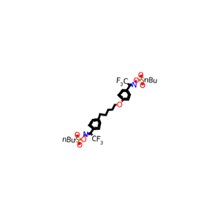 CCCCS(=O)(=O)O/N=C(/c1ccc(CCCCCOc2ccc(/C(=N/OS(=O)(=O)CCCC)C(F)(F)F)cc2)cc1)C(F)(F)F